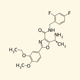 CCOc1cc(-c2nc(C(=O)NCc3ccc(F)cc3F)c([C@H](C)N)o2)ccc1OC